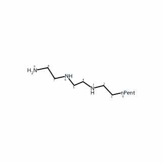 [CH2]CCCCCCNCCNCCN